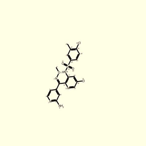 CON=C(c1ccnc(N)c1)c1ncc(Cl)cc1NS(=O)(=O)c1ccc(Cl)c(C)c1